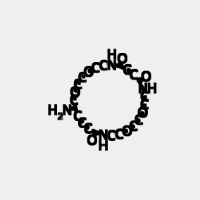 NC1CCCC(=O)NCCOCCOCCNC(=O)CCC(=O)NCCOCCOC1